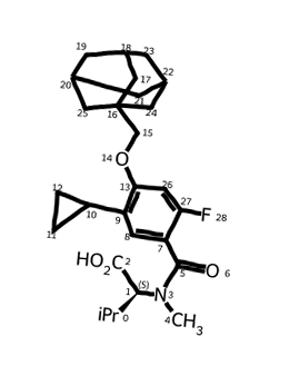 CC(C)[C@@H](C(=O)O)N(C)C(=O)c1cc(C2CC2)c(OCC23CC4CC(CC(C4)C2)C3)cc1F